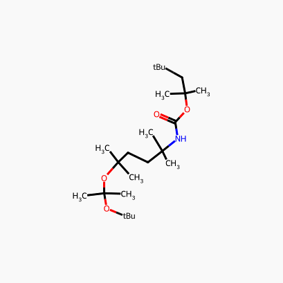 CC(C)(C)CC(C)(C)OC(=O)NC(C)(C)CCC(C)(C)OC(C)(C)OC(C)(C)C